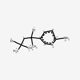 CCC(C)(C)CC(C)(CC)c1ccc(N)nc1